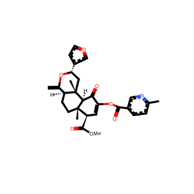 C=C1O[C@H](c2ccoc2)C[C@]2(C)[C@H]3C(=O)C(OC(=O)c4ccc(C)nc4)=C[C@@H](C(=O)OC)[C@]3(C)CC[C@@H]12